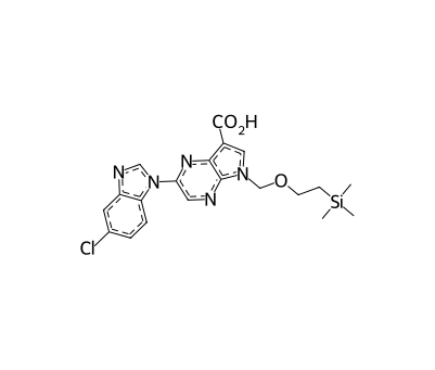 C[Si](C)(C)CCOCn1cc(C(=O)O)c2nc(-n3cnc4cc(Cl)ccc43)cnc21